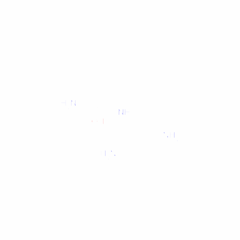 Nc1ccc(N)c(CNc2cccc(N)c2O)c1